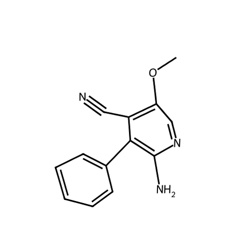 COc1cnc(N)c(-c2ccccc2)c1C#N